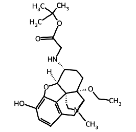 CCO[C@@]12CC[C@@H](NCC(=O)OC(C)(C)C)[C@@H]3Oc4c(O)ccc5c4[C@@]31CCN(C)C2C5